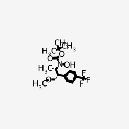 COC[C@@H](c1ccc(C(F)(F)F)cc1)[C@H](C)N(O)C(=O)OC(C)(C)C